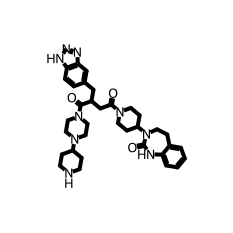 O=C(CC(Cc1ccc2[nH]nnc2c1)C(=O)N1CCN(C2CCNCC2)CC1)N1CCC(N2CCc3ccccc3NC2=O)CC1